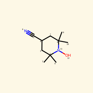 CC1(C)CC(C#N)CC(C)(C)N1O